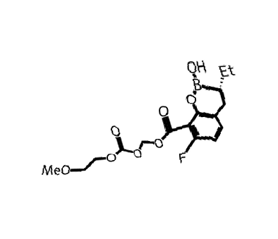 CC[C@@H]1Cc2ccc(F)c(C(=O)OCOC(=O)OCCOC)c2OB1O